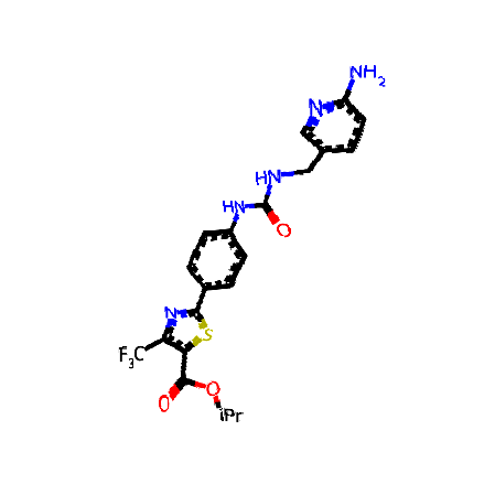 CC(C)OC(=O)c1sc(-c2ccc(NC(=O)NCc3ccc(N)nc3)cc2)nc1C(F)(F)F